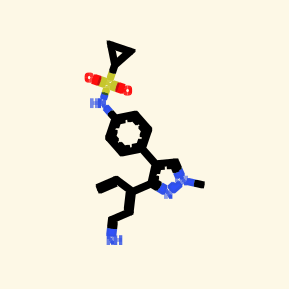 C=C/C(=C\C=N)c1nn(C)cc1-c1ccc(NS(=O)(=O)C2CC2)cc1